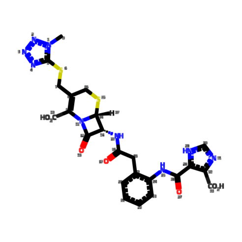 Cn1nnnc1SCC1=C(C(=O)O)N2C(=O)[C@@H](NC(=O)Cc3ccccc3NC(=O)c3[nH]cnc3C(=O)O)[C@H]2SC1